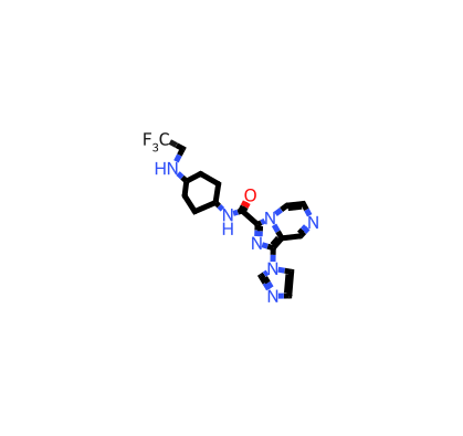 O=C(NC1CCC(NCC(F)(F)F)CC1)c1nc(-n2ccnc2)c2cnccn12